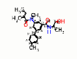 CCC(C)C(=O)N(C)c1cc(C(=O)N[C@@H](C)CO)cc(-c2ccc(C)cc2)c1